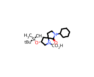 CC(C)(C)[Si](C)(C)O[C@H]1CN(C(=O)O)C2(CCN(C3CCCCC3)C2=O)C1